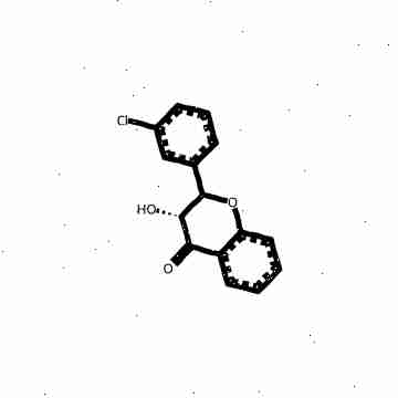 O=C1c2ccccc2OC(c2cccc(Cl)c2)[C@H]1O